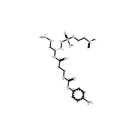 C=[N+](C)CCOP(=O)(O)OC[C@@H](COCCCCCCCCCC)OC(=O)CCOC(=O)Oc1ccc(N)cc1